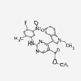 CCn1cc(-c2nc(Nc3cc([N+](=O)[O-])c(F)cc3C)ncc2C(=O)OC)c2ccccc21